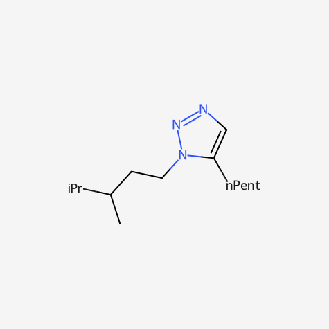 CCCCCc1cnnn1CCC(C)C(C)C